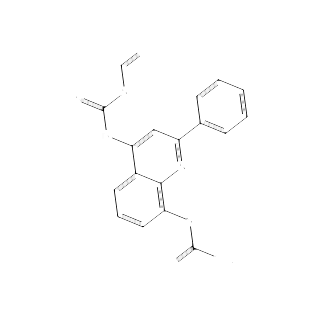 CC(=O)Nc1cccc2c(NC(=N)NC=O)cc(-c3ccccc3)nc12